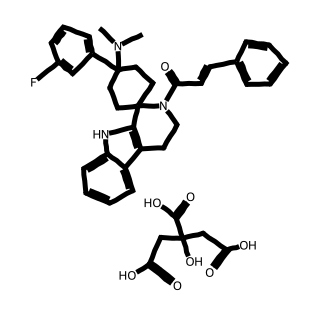 CN(C)C1(c2cccc(F)c2)CCC2(CC1)c1[nH]c3ccccc3c1CCN2C(=O)C=Cc1ccccc1.O=C(O)CC(O)(CC(=O)O)C(=O)O